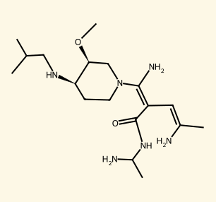 CO[C@H]1CN(/C(N)=C(/C=C(/C)N)C(=O)NC(C)N)CC[C@H]1NCC(C)C